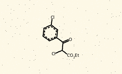 CCOC(=O)C(Cl)C(=O)c1cccc(Cl)c1